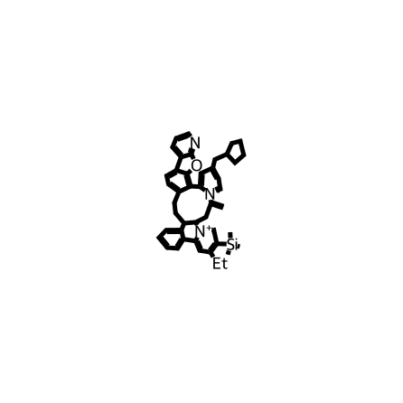 C=C1CC2C(CCc3ccc4c(oc5ncccc54)c3-c3cc(CC4CCCC4)cc[n+]31)c1ccccc1-c1cc(CC)c([Si](C)(C)C)c[n+]12